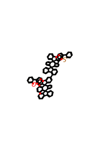 c1ccc2c(c1)-c1ccccc1C21c2ccccc2C2(c3ccccc3-c3cc(-c4cccc5c4-c4ccccc4C54c5ccccc5C5(c6ccccc6-c6ccccc65)c5c(-c6cccc7c6sc6ccccc67)cccc54)ccc32)c2c(-c3cccc4c3oc3ccccc34)cccc21